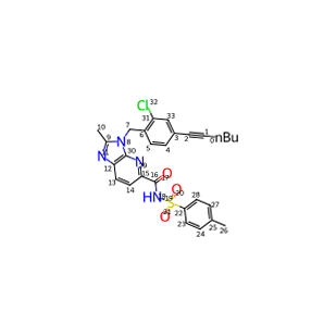 CCCCC#Cc1ccc(Cn2c(C)nc3ccc(C(=O)NS(=O)(=O)c4ccc(C)cc4)nc32)c(Cl)c1